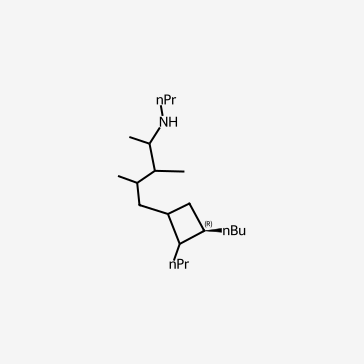 CCCC[C@@H]1CC(CC(C)C(C)C(C)NCCC)C1CCC